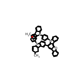 CC1C=CC(n2c3c(c4cc(-c5cc6c7ccccc7oc6c6c7ccccc7n(-c7ccc(-n8c9ccccc9c9ccccc98)cc7)c56)ccc42)CC(C)C=C3)=CC1